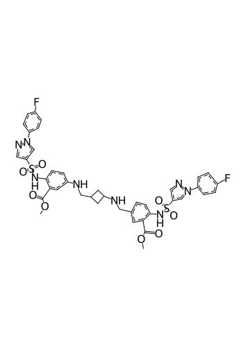 COC(=O)c1cc(CNC2CC(CNc3ccc(NS(=O)(=O)c4cnn(-c5ccc(F)cc5)c4)c(C(=O)OC)c3)C2)ccc1NS(=O)(=O)c1cnn(-c2ccc(F)cc2)c1